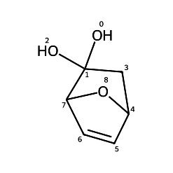 OC1(O)CC2C=CC1O2